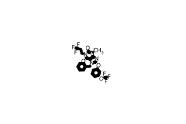 Cn1c(=O)n(CCC(F)(F)F)c(=O)c2c1nc(Oc1cccc(OC(F)(F)F)c1)n2Cc1ccccc1